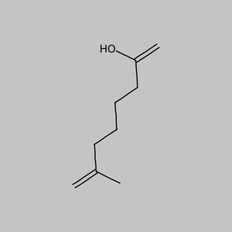 C=C(C)CCCCC(=C)O